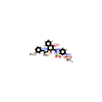 CC(=O)Oc1cccc(CNC2(CCC(C)(C)C)C(=O)C(C3=NS(=O)(=O)c4cc(NS(C)(=O)=O)ccc4N3)=C(O)c3ccccc32)c1